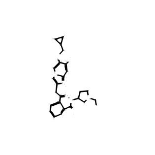 O=C(O)CN1CCC(n2nc(Cc3cn4cc(OCC5CC5)c(Cl)cc4n3)c3ccccc3c2=O)C1